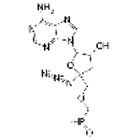 [N-]=[N+]=NC1(COC[PH]=O)CC(O)C(n2cnc3c(N)ncnc32)O1